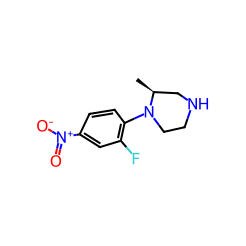 C[C@H]1CNCCN1c1ccc([N+](=O)[O-])cc1F